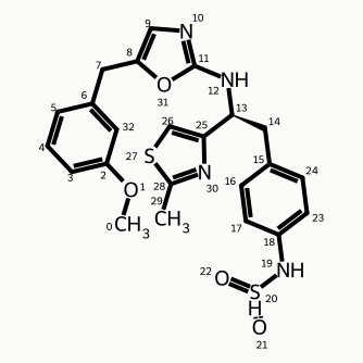 COc1cccc(Cc2cnc(N[C@@H](Cc3ccc(N[SH](=O)=O)cc3)c3csc(C)n3)o2)c1